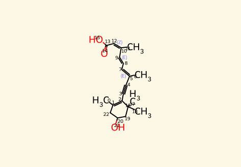 CC1=C(C#C/C(C)=C/C=C/C(C)=C\C(=O)O)C(C)(C)CC(O)C1